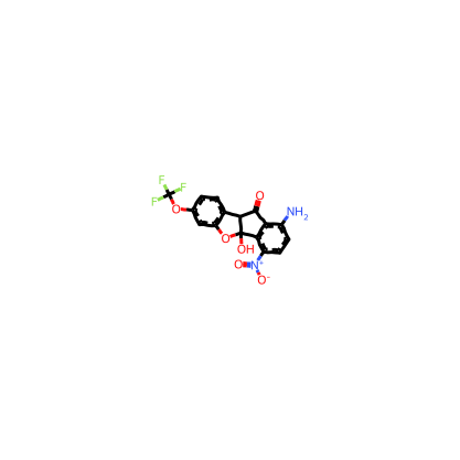 Nc1ccc([N+](=O)[O-])c2c1C(=O)C1c3ccc(OC(F)(F)F)cc3OC21O